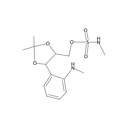 CNc1ccccc1C1OC(C)(C)OC1COS(=O)(=O)NC